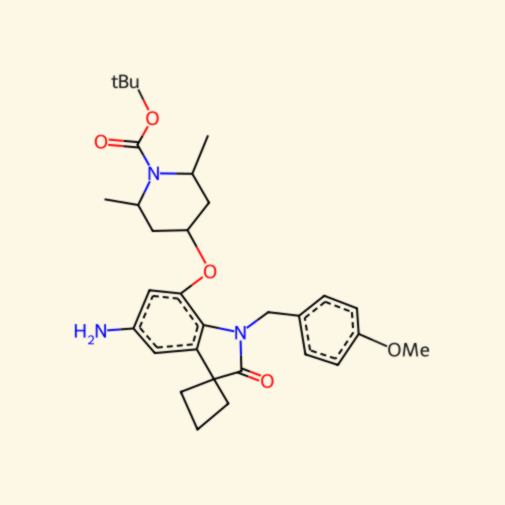 COc1ccc(CN2C(=O)C3(CCC3)c3cc(N)cc(OC4CC(C)N(C(=O)OC(C)(C)C)C(C)C4)c32)cc1